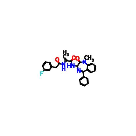 C[C@H](NC(=O)Cc1cccc(F)c1)C(=O)NC1N=C(c2ccccc2)c2ccccc2N(C)C1=O